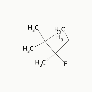 CC[C@@](C)(F)C(C)(C)C